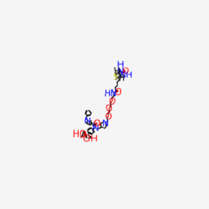 O=C(CCCC[C@H]1SC[C@H]2NC(=O)N[C@H]21)NCCOCCOCCOCCN1CCC(CN(C(=O)[C@@H]2CCN(Cc3ccccc3)C2)c2ccc([As](O)O)cc2)CC1